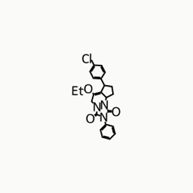 CCOC1=C2C(c3ccc(Cl)cc3)CCC2n2c(=O)n(-c3ccccc3)c(=O)n2C1